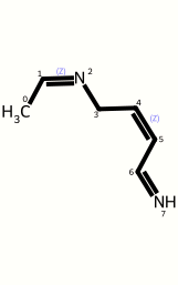 C/C=N\C/C=C\C=N